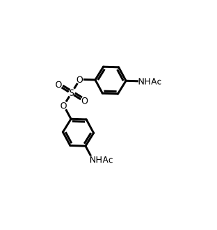 CC(=O)Nc1ccc(OS(=O)(=O)Oc2ccc(NC(C)=O)cc2)cc1